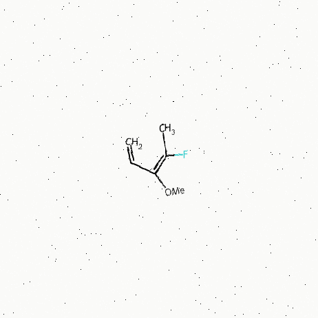 C=C/C(OC)=C(\C)F